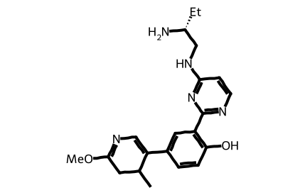 CC[C@@H](N)CNc1ccnc(-c2cc(C3=CN=C(OC)CC3C)ccc2O)n1